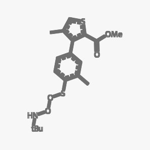 COC(=O)c1scc(C)c1-c1ccc(SOONC(C)(C)C)c(C)c1